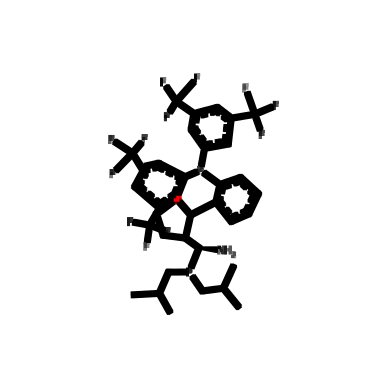 CC(C)CP(CC(C)C)[C@H](N)C1CCCC1c1ccccc1P(c1cc(C(F)(F)F)cc(C(F)(F)F)c1)c1cc(C(F)(F)F)cc(C(F)(F)F)c1